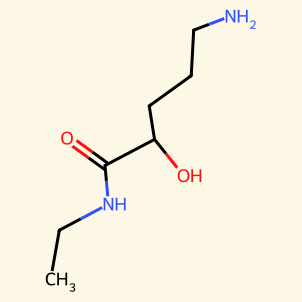 CCNC(=O)C(O)CCCN